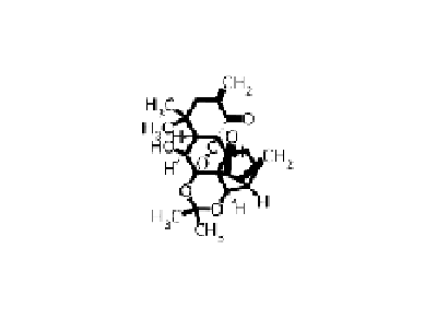 C=C1CC(C)(C)[C@H]2[C@H](O)C34OC[C@]2(C1=O)[C@@H]1CC[C@H]2C(=C)C(=O)C13[C@@H]2OC(C)(C)O4